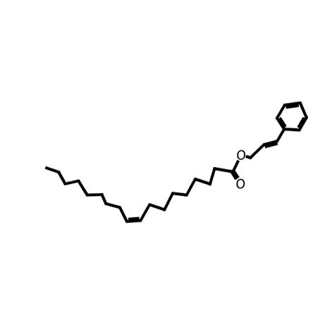 CCCCCCCC/C=C\CCCCCCCC(=O)OCC=Cc1ccccc1